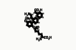 CCCCOc1ccc(C=O)cc1.NCCCC[C@H](N)C(=O)O.NCCc1ccccc1.O=C(O)Cc1ccccc1